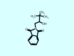 CC(C)(C)C(O)CN1C(=O)c2ccccc2C1=O